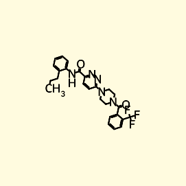 CCCc1ccccc1NC(=O)c1ccc(N2CCN(C(=O)c3ccccc3C(F)(F)F)CC2)nn1